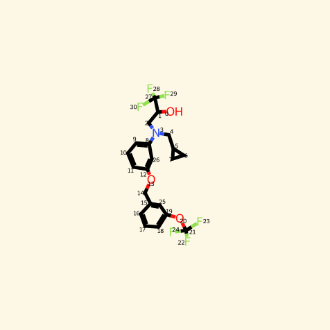 OC(CN(CC1CC1)c1cccc(OCc2cccc(OC(F)(F)F)c2)c1)C(F)(F)F